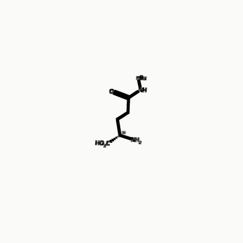 CCCCNC(=O)CC[C@H](N)C(=O)O